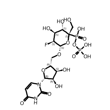 O=c1ccn([C@@H]2O[C@H](CO[C@H]3O[C@@](CO)(P(=O)(O)OP(=O)(O)O)[C@@H](O)[C@H](O)[C@@H]3F)[C@@H](O)[C@H]2O)c(=O)[nH]1